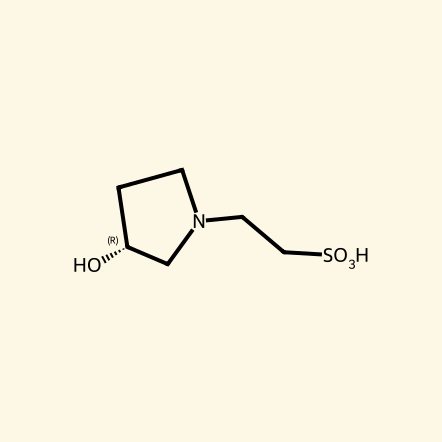 O=S(=O)(O)CCN1CC[C@@H](O)C1